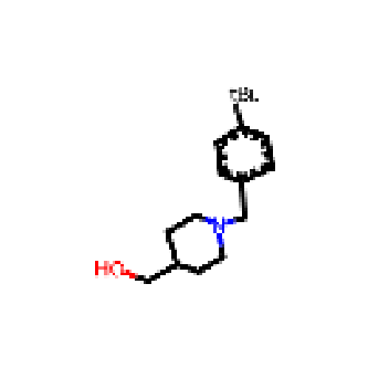 CC(C)(C)c1ccc(CN2CCC(CO)CC2)cc1